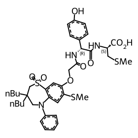 CCCCC1(CCCC)CN(c2ccccc2)c2cc(SC)c(OCC(=O)N[C@@H](C(=O)N[C@H](CSC)C(=O)O)c3ccc(O)cc3)cc2S(=O)(=O)C1